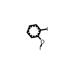 IOc1ccccc1I